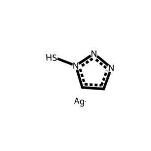 Sn1ccnn1.[Ag]